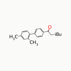 CCC(C)CC(=O)c1ccc(-c2ccc(C)cc2C)cc1